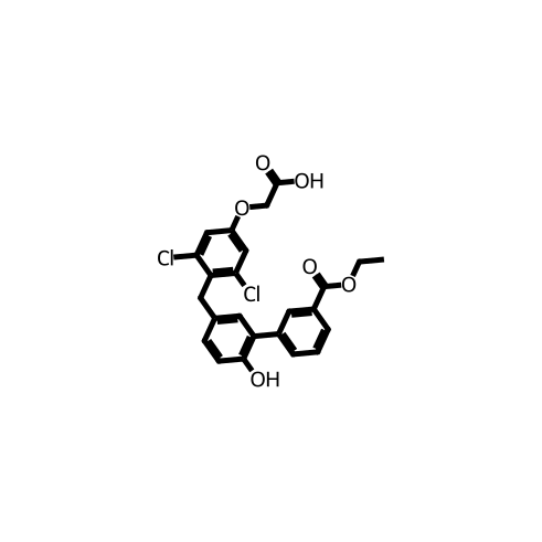 CCOC(=O)c1cccc(-c2cc(Cc3c(Cl)cc(OCC(=O)O)cc3Cl)ccc2O)c1